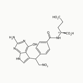 Nc1nc(O)c2c(C(C[N+](=O)[O-])c3ccc(C(=O)N[C@@H](CCC(=O)O)C(=O)O)cc3)c[nH]c2n1